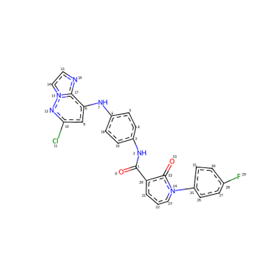 O=C(Nc1ccc(Nc2cc(Cl)nn3ccnc23)cc1)c1cccn(-c2ccc(F)cc2)c1=O